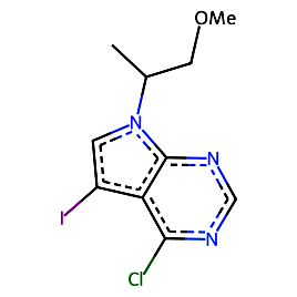 COCC(C)n1cc(I)c2c(Cl)ncnc21